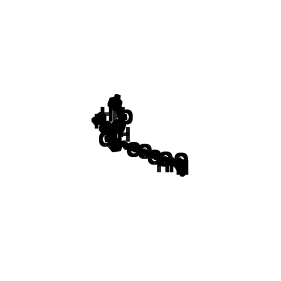 CCN(C)C(=O)NCCOCCOCCOCCOCCCc1cccc(C(=O)Nc2ccc(N(CC)CC)cc2-c2cc(C(=O)NCc3cccc(C)c3)ccn2)c1